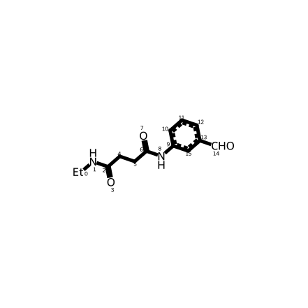 CCNC(=O)CCC(=O)Nc1cccc(C=O)c1